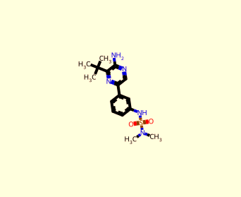 CN(C)S(=O)(=O)Nc1cccc(-c2cnc(N)c(C(C)(C)C)n2)c1